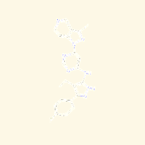 CCc1c(-c2ccc(F)cc2)n[nH]c1Nc1cc(-n2nc(C)c3cnccc32)ncn1